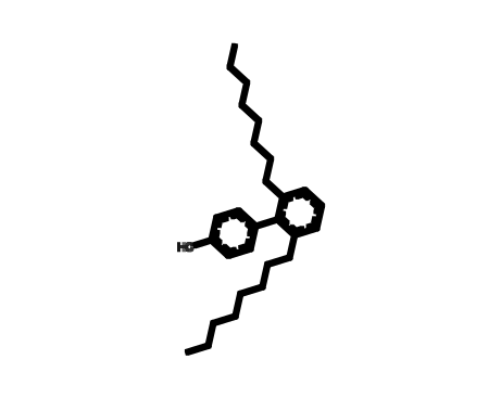 CCCCCCCCc1cccc(CCCCCCCC)c1-c1ccc(O)cc1